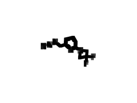 [N-]=[N+]=NCc1cccc(N2CC(F)(F)C2)n1